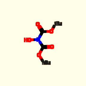 CCCCOC(=O)N(O)C(=O)OC(C)(C)C